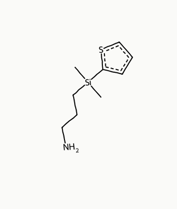 C[Si](C)(CCCN)c1cccs1